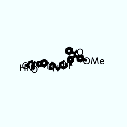 COc1ccc2c(c1)OCC(c1ccccc1)C2c1ccc(N2CCC(CN3CCN(c4ccc5c(c4)CN(C4CCC(=O)NC4=O)C5)CC3)CC2)c(F)c1